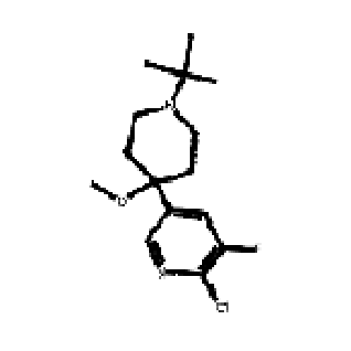 COC1(c2cnc(Cl)c(F)c2)CCN(C(C)(C)C)CC1